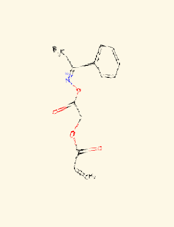 C=CC(=O)OCC(=O)O/N=C(\c1ccccc1)C(F)(F)F